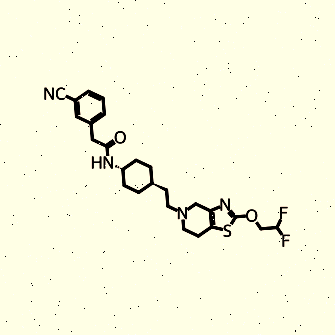 N#Cc1cccc(CC(=O)N[C@H]2CC[C@H](CCN3CCc4sc(OCC(F)F)nc4C3)CC2)c1